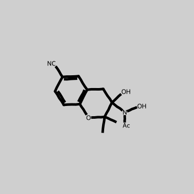 CC(=O)N(O)C1(O)Cc2cc(C#N)ccc2OC1(C)C